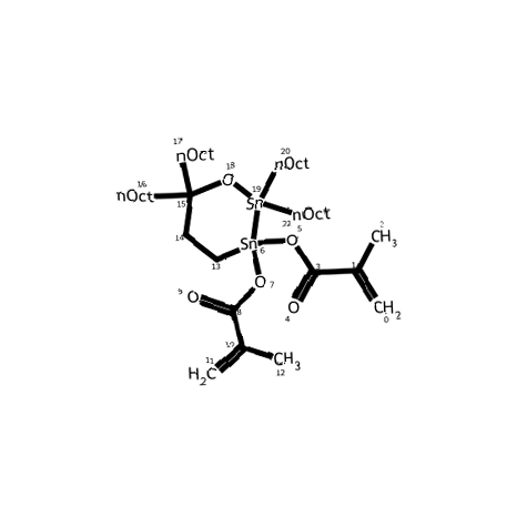 C=C(C)C(=O)[O][Sn]1([O]C(=O)C(=C)C)[CH2]CC(CCCCCCCC)(CCCCCCCC)[O][Sn]1([CH2]CCCCCCC)[CH2]CCCCCCC